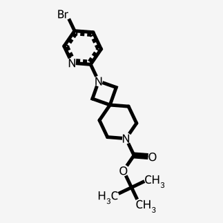 CC(C)(C)OC(=O)N1CCC2(CC1)CN(c1ccc(Br)cn1)C2